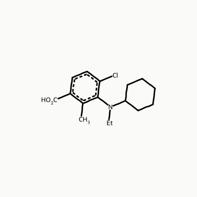 CCN(c1c(Cl)ccc(C(=O)O)c1C)C1CCCCC1